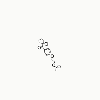 CC(=O)OCCOc1ccc(C(=O)C2(Cl)CCCC2)cc1